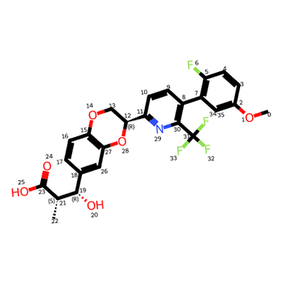 COc1ccc(F)c(-c2ccc([C@@H]3COc4ccc([C@H](O)[C@H](C)C(=O)O)cc4O3)nc2C(F)(F)F)c1